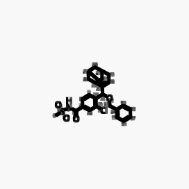 CS(=O)(=O)NC(=O)c1ccc(C(OCc2ccccc2)C2C3CC4CC(C3)CC2C4)c(Cl)c1